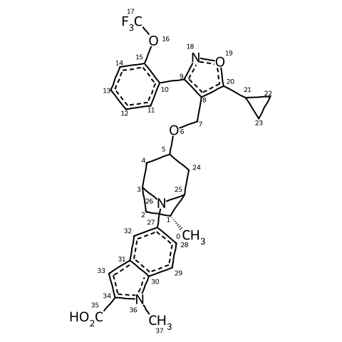 C[C@@H]1CC2CC(OCc3c(-c4ccccc4OC(F)(F)F)noc3C3CC3)CC1N2c1ccc2c(c1)cc(C(=O)O)n2C